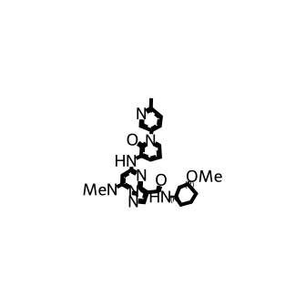 CNc1cc(Nc2cccn(-c3ccc(C)nc3)c2=O)nc2c(C(=O)N[C@@H]3CCC[C@@H](OC)C3)cnn12